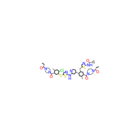 C=CC(=O)N1CCN(C(=O)c2cc(Sc3cnc(Nc4cc(-c5cc(C)c(C(=O)N6CCCN(C(=O)C=C)[C@H](C)C6)cc5Cc5cnc(NC(=O)C6CC6)s5)ccn4)s3)c(Cl)cc2C)CC1